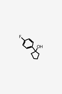 OC1(c2ccc(F)cc2)CCCC1